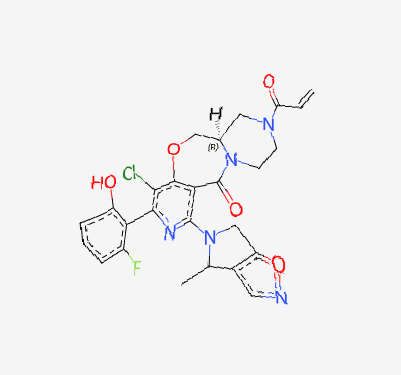 C=CC(=O)N1CCN2C(=O)c3c(N4Cc5oncc5C4C)nc(-c4c(O)cccc4F)c(Cl)c3OC[C@H]2C1